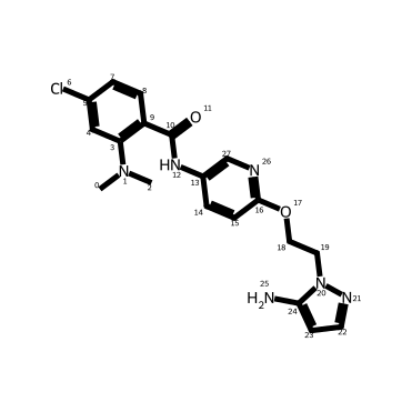 CN(C)c1cc(Cl)ccc1C(=O)Nc1ccc(OCCn2nccc2N)nc1